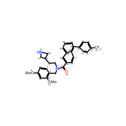 COc1ccc(CN(CCC2CNC2)C(=O)c2ccc3c(-c4ccc(C(F)(F)F)cc4)cccc3c2)c(OC)c1